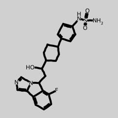 NS(=O)(=O)Nc1ccc(C2CCC(C(O)CC3c4c(F)cccc4-c4cncn43)CC2)cc1